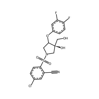 N#Cc1cc(Cl)ccc1S(=O)(=O)N1CC(Oc2ccc(F)c(F)c2)[C@](O)(CO)C1